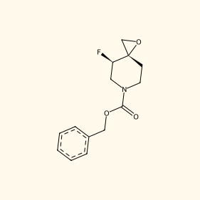 O=C(OCc1ccccc1)N1CC[C@]2(CO2)[C@H](F)C1